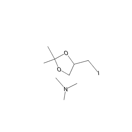 CC1(C)OCC(CI)O1.CN(C)C